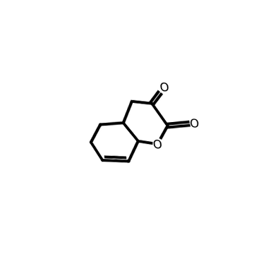 O=C1CC2CCC=CC2OC1=O